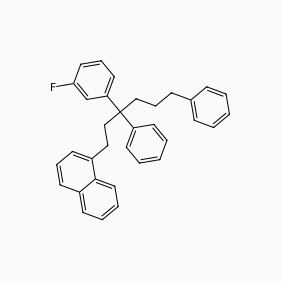 Fc1cccc(C(CCCc2ccccc2)(CCc2cccc3ccccc23)c2ccccc2)c1